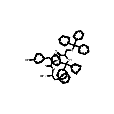 O=C(O)C(Cc1ccccc1)NC(=O)C(Cc1ccc(O)cc1)NC(=O)C(CSC(c1ccccc1)(c1ccccc1)c1ccccc1)NC(c1ccccc1)(c1ccccc1)c1ccccc1